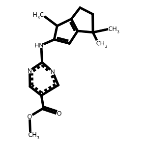 COC(=O)c1cnc(NC2=CC3=C(CCC3(C)C)C2C)nc1